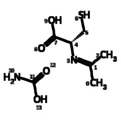 CC(C)=N[C@@H](CS)C(=O)O.NC(=O)O